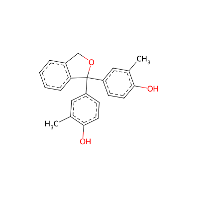 Cc1cc(C2(c3ccc(O)c(C)c3)OCc3ccccc32)ccc1O